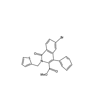 COC(=O)c1c(-c2ccccc2)c2cc(Br)ccc2c(=O)n1Cc1cccs1